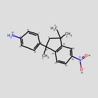 CC1(C)CC(C)(c2ccc(N)cc2)c2ccc([N+](=O)[O-])cc21